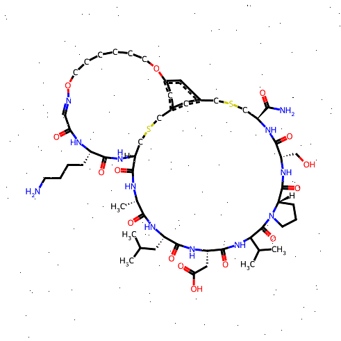 CC(C)C[C@@H]1NC(=O)[C@H](C)NC(=O)[C@@H]2CSCc3cc(cc(c3)OCCCCCCO/N=C/C(=O)N[C@@H](CCCCN)C(=O)N2)CSC[C@@H](C(N)=O)NC(=O)[C@H](CO)NC(=O)[C@@H]2CCCN2C(=O)C(C(C)C)NC(=O)[C@H](CC(=O)O)NC1=O